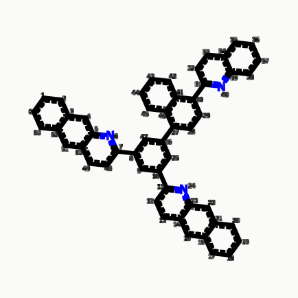 c1ccc2cc3nc(-c4cc(-c5ccc6cc7ccccc7cc6n5)cc(-c5ccc(-c6ccc7ccccc7n6)c6ccccc56)c4)ccc3cc2c1